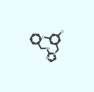 Clc1cc(Cl)cc(Cn2ccnc2NCc2ccccc2)c1